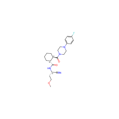 COCC[C@@H](C#N)NC(=O)[C@@H]1CCCC[C@H]1C(=O)N1CCN(c2ccc(F)cc2)CC1